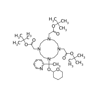 CC(C)(C)OC(=O)CN1CCN(CC(=O)OC(C)(C)C)CCN(C(C)(OC2CCCCO2)c2ccccn2)CCN(CC(=O)OC(C)(C)C)CC1